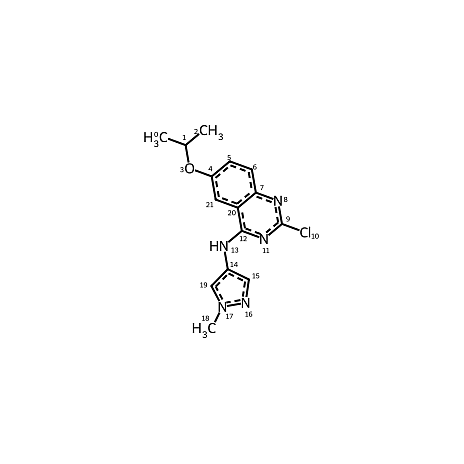 CC(C)Oc1ccc2nc(Cl)nc(Nc3cnn(C)c3)c2c1